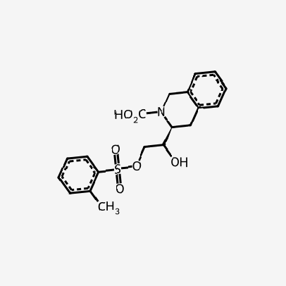 Cc1ccccc1S(=O)(=O)OCC(O)[C@@H]1Cc2ccccc2CN1C(=O)O